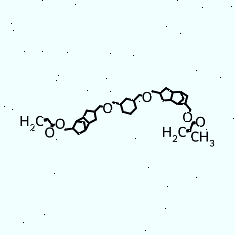 C=CC(=O)OCC1CC2CC1C1CC(COCC3CCCC(COCC4CC5C6CC(COC(=O)C(=C)C)C(C6)C5C4)C3)CC21